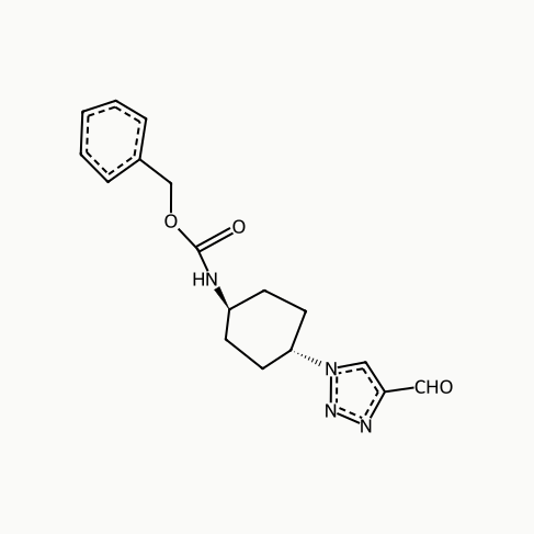 O=Cc1cn([C@H]2CC[C@H](NC(=O)OCc3ccccc3)CC2)nn1